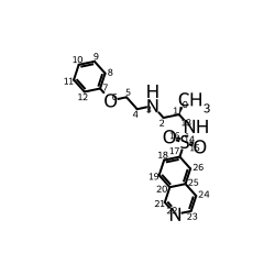 C[C@H](CNCCOc1ccccc1)NS(=O)(=O)c1ccc2cnccc2c1